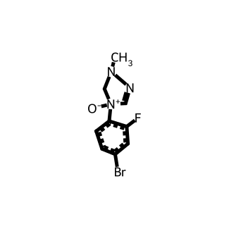 CN1C[N+]([O-])(c2ccc(Br)cc2F)C=N1